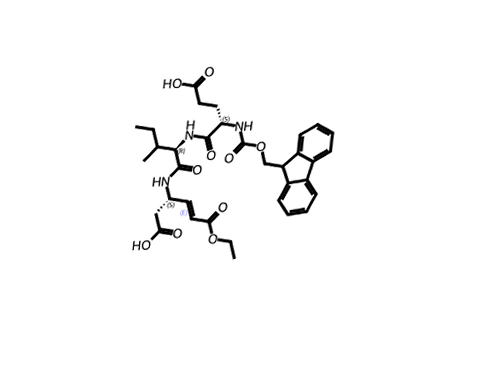 CCOC(=O)/C=C/[C@H](CC(=O)O)NC(=O)[C@H](NC(=O)[C@H](CCC(=O)O)NC(=O)OCC1c2ccccc2-c2ccccc21)C(C)CC